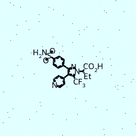 CCC(C(=O)O)n1nc(-c2ccc(S(N)(=O)=O)cc2)c(-c2ccncc2)c1C(F)(F)F